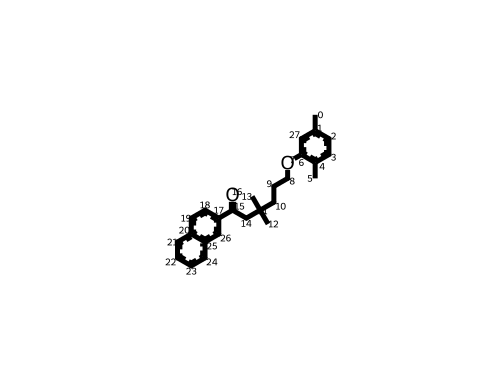 Cc1ccc(C)c(OCCCC(C)(C)CC(=O)c2ccc3ccccc3c2)c1